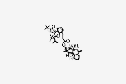 C=C1C[C@]2(O)[C@](O)(c3ccccc31)[C@H]1C[C@@H](OC(=O)CCc3cccc(NC(=O)OC(C)(C)C)c3O[Si](C(C)C)(C(C)C)C(C)C)[C@]2(C)C1(C)C